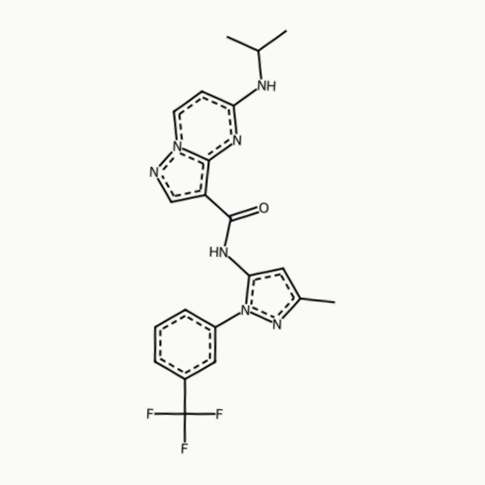 Cc1cc(NC(=O)c2cnn3ccc(NC(C)C)nc23)n(-c2cccc(C(F)(F)F)c2)n1